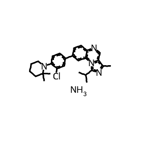 Cc1nc(C(C)C)n2c1cnc1ccc(-c3ccc(N4CCCCC4(C)C)c(Cl)c3)cc12.N